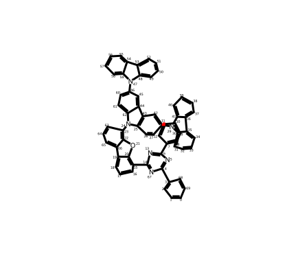 c1ccc(-c2nc(-c3ccccc3)nc(-c3cccc4c3oc3c(-n5c6ccc(-n7c8ccccc8c8ccccc87)cc6c6cc(-n7c8ccccc8c8ccccc87)ccc65)cccc34)n2)cc1